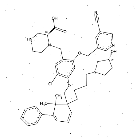 CC1(C)C(c2ccccc2)=CC=CC1(CCCCN1CC[C@@H](O)C1)COc1cc(OCc2cncc(C#N)c2)c(CN2CCNC[C@H]2C(=O)O)cc1Cl